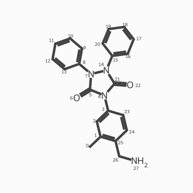 Cc1cc(-n2c(=O)n(-c3ccccc3)n(-c3ccccc3)c2=O)ccc1CN